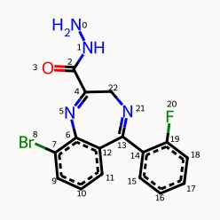 NNC(=O)C1=Nc2c(Br)cccc2C(c2ccccc2F)=NC1